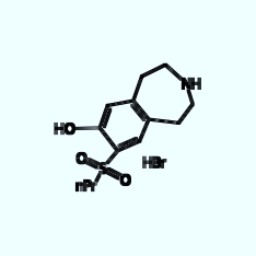 Br.CCCS(=O)(=O)c1cc2c(cc1O)CCNCC2